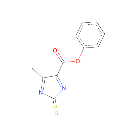 CC1=NC(=S)N=C1C(=O)Oc1ccccc1